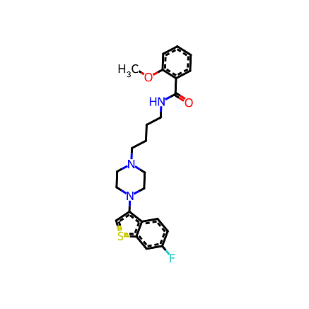 COc1ccccc1C(=O)NCCCCN1CCN(c2csc3cc(F)ccc23)CC1